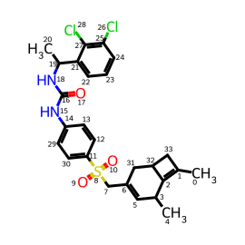 CC1=C2C(C)C=C(CS(=O)(=O)c3ccc(NC(=O)NC(C)c4cccc(Cl)c4Cl)cc3)CC2C1